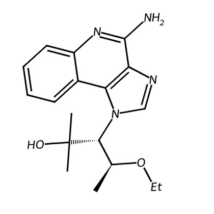 CCO[C@@H](C)[C@@H](n1cnc2c(N)nc3ccccc3c21)C(C)(C)O